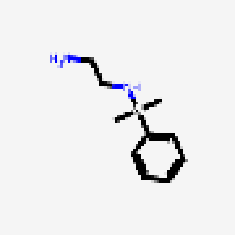 C[Si](C)(NCCN)c1ccccc1